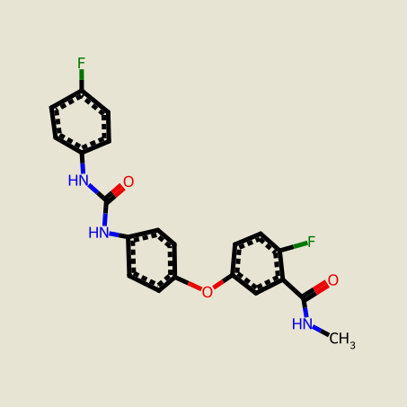 CNC(=O)c1cc(Oc2ccc(NC(=O)Nc3ccc(F)cc3)cc2)ccc1F